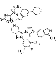 CC[C@H]1C[C@]1(c1noc(=O)[nH]1)n1c(C(=O)N2CCc3nn(-c4cc(C)c(F)c(C)c4)c(-n4ccn(-c5ccc6c(cnn6C)c5)c4=O)c3C2)cc2cc(C3CCOCC3)ccc21